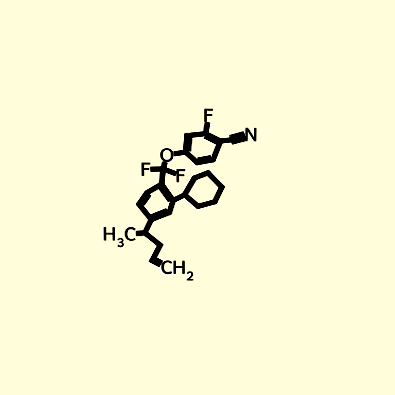 C=CCC(C)c1ccc(C(F)(F)Oc2ccc(C#N)c(F)c2)c(C2CCCCC2)c1